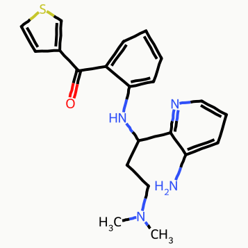 CN(C)CCC(Nc1ccccc1C(=O)c1ccsc1)c1ncccc1N